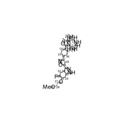 [2H]C1([2H])NC([2H])([2H])C([2H])([2H])N(C(=O)c2ccc(-c3cc(-c4n[nH]c5cc(OCCOC)c(F)cc45)on3)cc2)C1([2H])[2H]